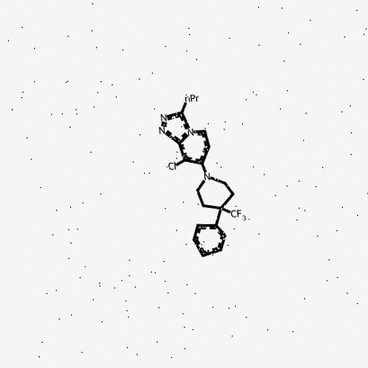 CCCc1nnc2c(Cl)c(N3CCC(c4ccccc4)(C(F)(F)F)CC3)ccn12